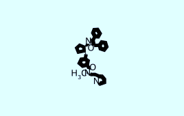 CN(CCc1ccccn1)C(=O)c1cccc(C[C@@H]2CCC[C@H]2c2nc(-c3ccccc3)c(-c3ccccc3)o2)c1